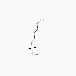 CCNS(=O)(=O)CCCCCOC(C)=O